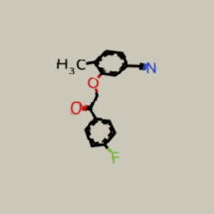 Cc1ccc(C#N)cc1OCC(=O)c1ccc(F)cc1